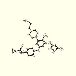 COCCN1CCN(c2nc(Sc3ccc(NC(=O)C4CC4)cc3)nc(Nc3cc(C)[nH]n3)c2C)CC1